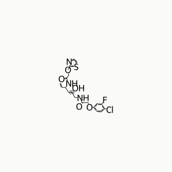 C=CC(C[C@H](O)CNC(=O)COc1ccc(Cl)c(F)c1)NC(=O)COc1nccs1